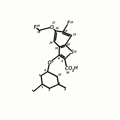 CC1CC(C)CC(Oc2c(C(=O)O)sc3cc(F)c(OCF)cc23)C1